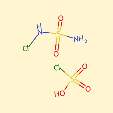 NS(=O)(=O)NCl.O=S(=O)(O)Cl